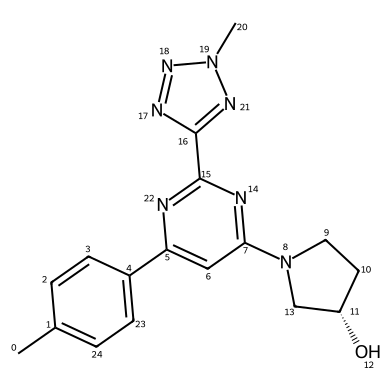 Cc1ccc(-c2cc(N3CC[C@H](O)C3)nc(-c3nnn(C)n3)n2)cc1